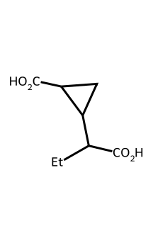 CCC(C(=O)O)C1CC1C(=O)O